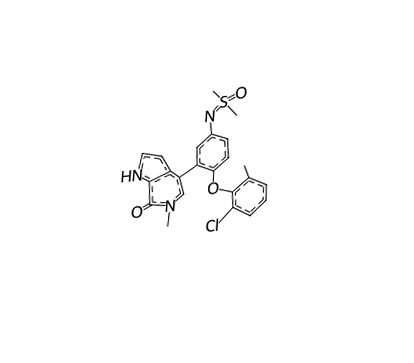 Cc1cccc(Cl)c1Oc1ccc(N=S(C)(C)=O)cc1-c1cn(C)c(=O)c2[nH]ccc12